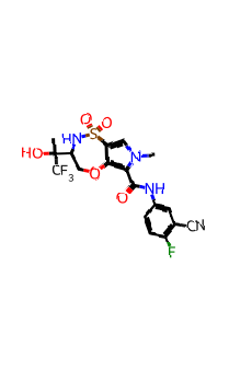 Cn1cc2c(c1C(=O)Nc1ccc(F)c(C#N)c1)OCC(C(C)(O)C(F)(F)F)NS2(=O)=O